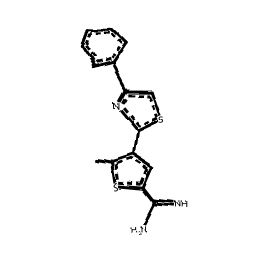 Cc1sc(C(=N)N)cc1-c1nc(-c2ccccc2)cs1